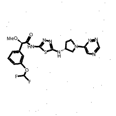 CO[C@@H](C(=O)Nc1nnc(N[C@@H]2CCN(c3cncnn3)C2)s1)c1cccc(OC(F)F)c1